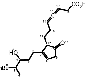 CCCCC(C)[C@@H](O)CCC1=CCC(=O)[C@@H]1CCC=C=CCC(=O)O